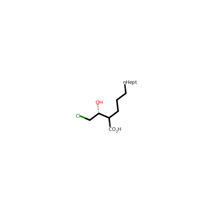 CCCCCCCCCCC(C(=O)O)[C@@H](O)CCl